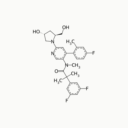 Cc1cc(F)ccc1-c1cc(N2C[C@H](O)C[C@H]2CO)ncc1N(C)C(=O)C(C)(C)c1cc(F)cc(F)c1